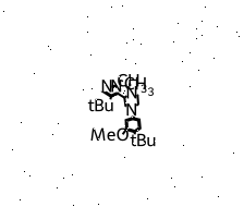 COc1cc(N2CCN(C)C(c3c(C(C)(C)C)cnn3C)C2)ccc1C(C)(C)C